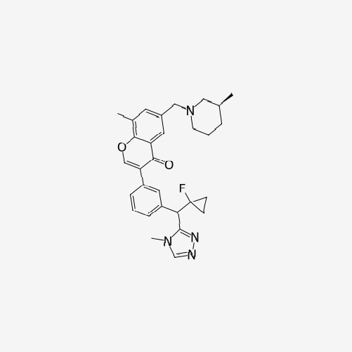 Cc1cc(CN2CCC[C@H](C)C2)cc2c(=O)c(-c3cccc(C(c4nncn4C)C4(F)CC4)c3)coc12